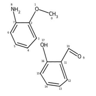 COc1ccccc1N.O=Cc1ccccc1O